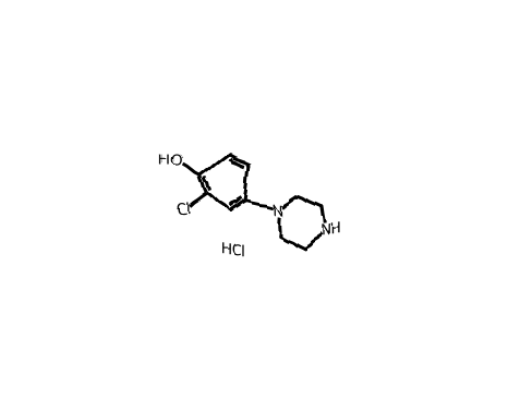 Cl.Oc1ccc(N2CCNCC2)cc1Cl